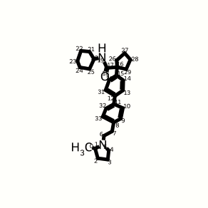 CC1CCCN1CCc1ccc(-c2ccc(C3(C(=O)NC4CCCCC4)CCCC3)cc2)cc1